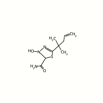 C=CCC(C)(C)C1=NN(O)C(C(N)=O)S1